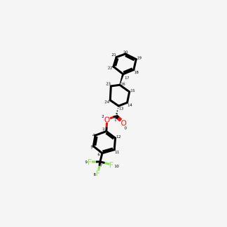 O=C(Oc1ccc(C(F)(F)F)cc1)[C@H]1CC[C@H](c2ccccc2)CC1